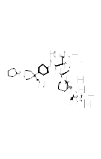 C[C@@H]1[C@H](NC(=O)N(C)C)CCCN1c1cnc(C(N)=O)c(Nc2ccc(C3(C#N)CCN(C4CCCC4)CC3)cc2)n1